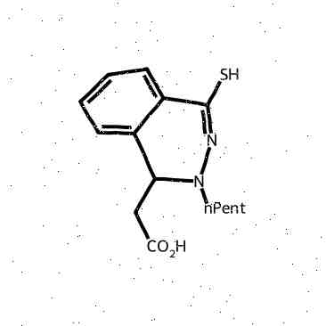 CCCCCN1N=C(S)c2ccccc2C1CC(=O)O